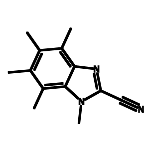 Cc1c(C)c(C)c2c(nc(C#N)n2C)c1C